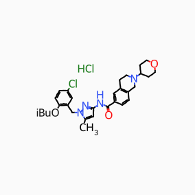 Cc1cc(NC(=O)c2ccc3c(c2)CCN(C2CCOCC2)C3)nn1Cc1cc(Cl)ccc1OCC(C)C.Cl